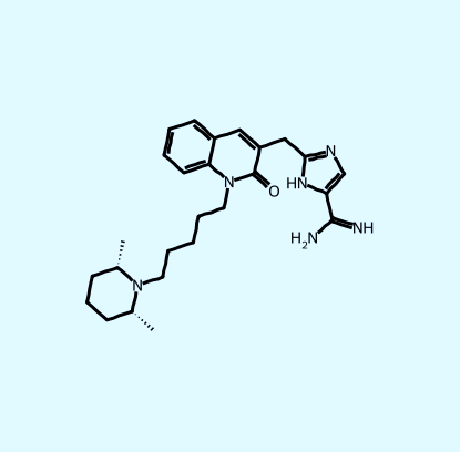 C[C@@H]1CCC[C@H](C)N1CCCCCn1c(=O)c(Cc2ncc(C(=N)N)[nH]2)cc2ccccc21